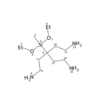 CCO[Si](C)(OCC)C(CCN)(CCN)CCN